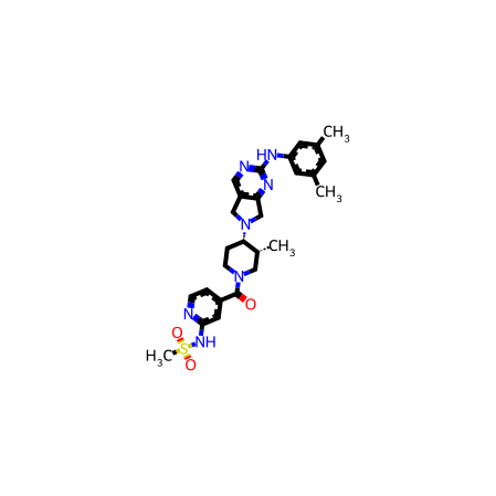 Cc1cc(C)cc(Nc2ncc3c(n2)CN([C@H]2CCN(C(=O)c4ccnc(NS(C)(=O)=O)c4)C[C@H]2C)C3)c1